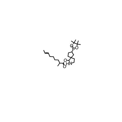 CC=CCCCCC(C)C(=O)OC1NCCC12CCC(B1OC(C)(C)C(C)(C)O1)C2